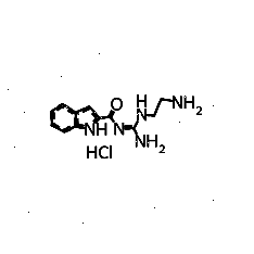 Cl.NCCNC(N)=NC(=O)c1cc2ccccc2[nH]1